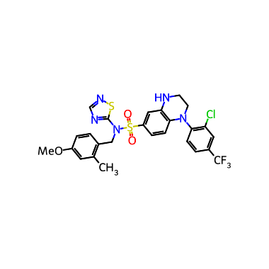 COc1ccc(CN(c2ncns2)S(=O)(=O)c2ccc3c(c2)NCCN3c2ccc(C(F)(F)F)cc2Cl)c(C)c1